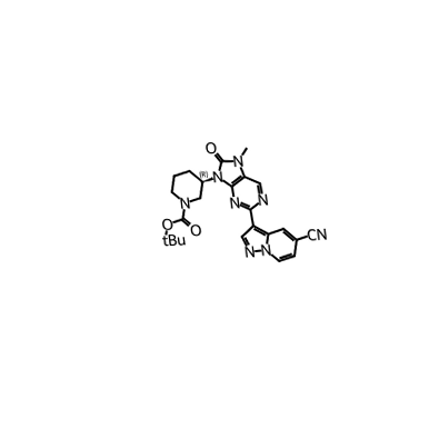 Cn1c(=O)n([C@@H]2CCCN(C(=O)OC(C)(C)C)C2)c2nc(-c3cnn4ccc(C#N)cc34)ncc21